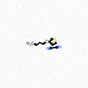 C=CCC=C.N#CC#N.c1ccsc1